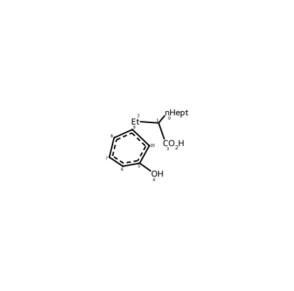 CCCCCCCC(CC)C(=O)O.Oc1ccccc1